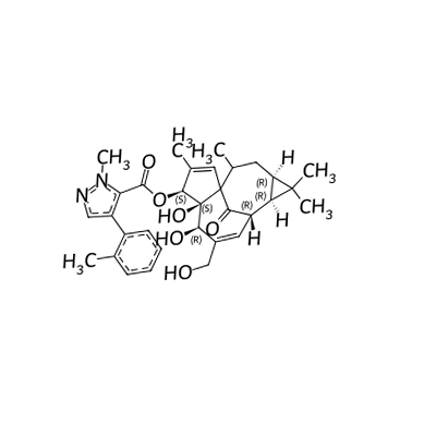 CC1=CC23C(=O)[C@@H](C=C(CO)[C@@H](O)[C@]2(O)[C@H]1OC(=O)c1c(-c2ccccc2C)cnn1C)[C@H]1[C@@H](CC3C)C1(C)C